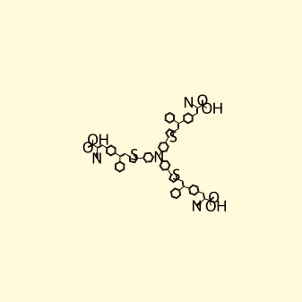 N#C/C(=C\c1ccc(/C(=C/c2ccc(-c3ccc(N(c4ccc(-c5ccc(/C=C(\c6ccccc6)c6ccc(/C=C(\C#N)C(=O)O)cc6)s5)cc4)c4ccc(-c5ccc(/C=C(\c6ccccc6)c6ccc(/C=C(\C#N)C(=O)O)cc6)s5)cc4)cc3)s2)c2ccccc2)cc1)C(=O)O